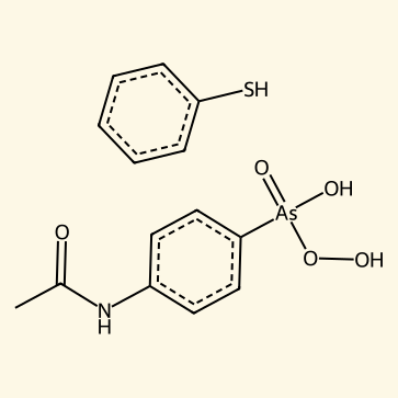 CC(=O)Nc1ccc([As](=O)(O)OO)cc1.Sc1ccccc1